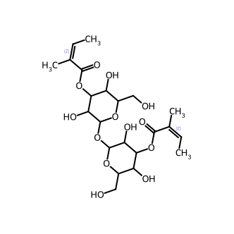 C/C=C(/C)C(=O)OC1C(O)C(CO)OC(OC2OC(CO)C(O)C(OC(=O)/C(C)=C\C)C2O)C1O